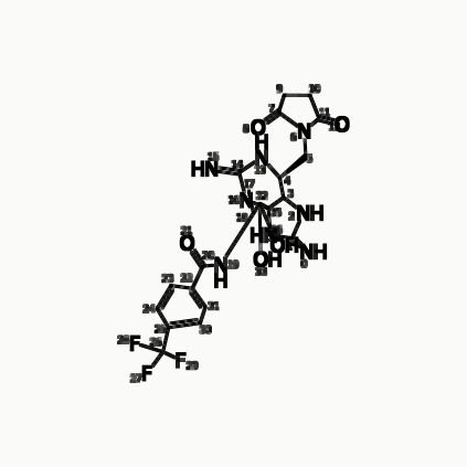 N=C1NC2[C@H](CN3C(=O)CCC3=O)NC(=N)N3CC(NC(=O)c4ccc(C(F)(F)F)cc4)C(O)(O)C23N1